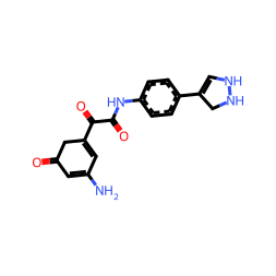 NC1=CC(=O)CC(C(=O)C(=O)Nc2ccc(C3=CNNC3)cc2)=C1